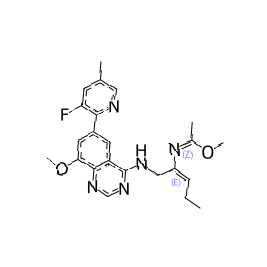 CC/C=C(CNc1ncnc2c(OC)cc(-c3ncc(C)cc3F)cc12)/N=C(/C)OC